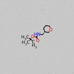 CC(C)(C)OC(=O)NC[C@H]1CCCOC1